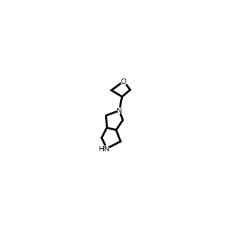 C1NCC2CN(C3COC3)CC12